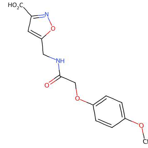 O=C(COc1ccc(OC(F)(F)F)cc1)NCc1cc(C(=O)O)no1